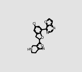 Clc1cc2c(c(-c3ncnc4ccoc34)c1)OC(c1onc3c1CNCC3)C2